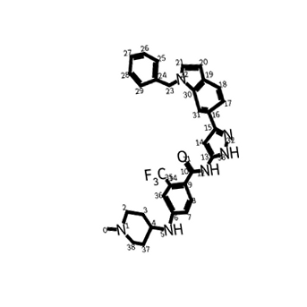 CN1CCC(Nc2ccc(C(=O)Nc3cc(-c4ccc5ccn(Cc6ccccc6)c5c4)n[nH]3)c(C(F)(F)F)c2)CC1